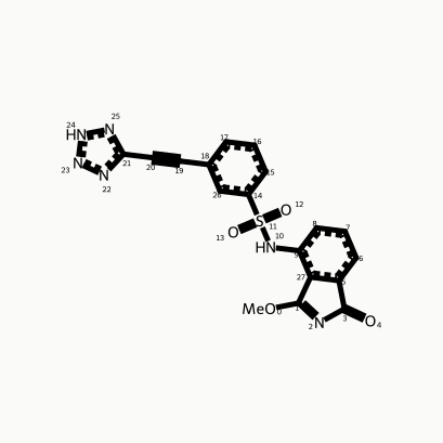 COC1=NC(=O)c2cccc(NS(=O)(=O)c3cccc(C#Cc4nn[nH]n4)c3)c21